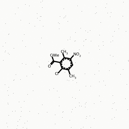 COC(=O)c1c(C)c([N+](=O)[O-])cc(C)c1Cl